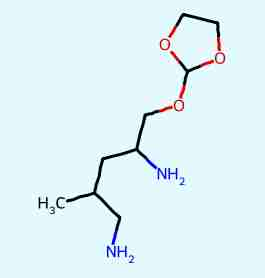 CC(CN)CC(N)COC1OCCO1